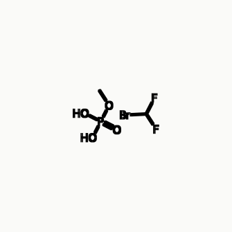 COP(=O)(O)O.FC(F)Br